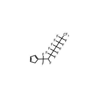 FC(C(F)(F)C1=CC=CC1)C(F)(F)C(F)(F)C(F)(F)C(F)(F)C(F)(F)C(F)(F)F